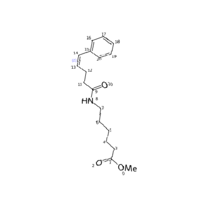 COC(=O)CCCCCNC(=O)CC/C=C\c1ccccc1